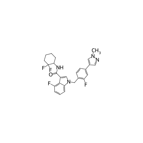 Cn1cc(-c2ccc(Cn3cc(C(=O)NC4CCCCC4(F)F)c4c(F)cccc43)c(F)c2)cn1